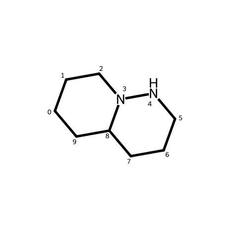 C1CCN2NCCCC2C1